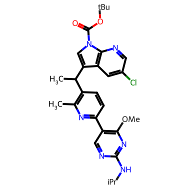 COc1nc(NC(C)C)ncc1-c1ccc(C(C)c2cn(C(=O)OC(C)(C)C)c3ncc(Cl)cc23)c(C)n1